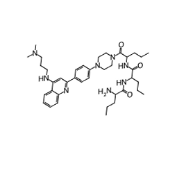 CCCC(N)C(=O)NC(CCC)C(=O)NC(CCC)C(=O)N1CCN(c2ccc(-c3cc(NCCCN(C)C)c4ccccc4n3)cc2)CC1